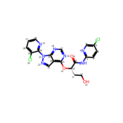 O=C(Nc1ccc(Cl)cn1)[C@H](CCO)Oc1ncnc2c1cnn2-c1ncccc1Cl